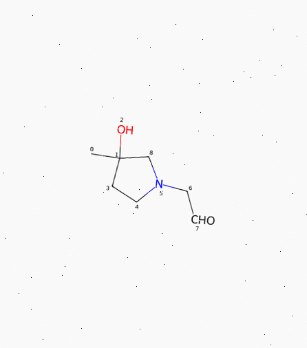 CC1(O)CCN(CC=O)C1